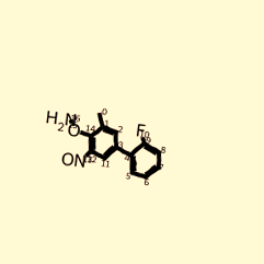 Cc1cc(-c2ccccc2F)cc(N=O)c1ON